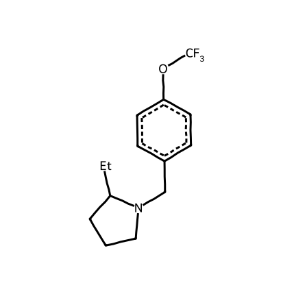 CCC1CCCN1Cc1ccc(OC(F)(F)F)cc1